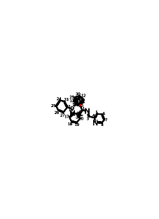 CC(N=Cc1ccccn1)[C]12[CH]3[CH]4[CH]5[C]1(P(c1ccccc1)c1ccccc1)[Fe]43521678[CH]2[CH]1[CH]6[CH]7[CH]28